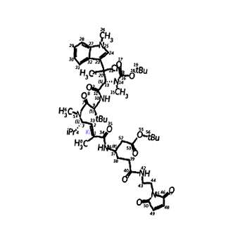 C/C(=C\[C@H](C(C)C)N(C)C(=O)[C@@H](NC(=O)[C@@H](N(C)C(=O)OC(C)(C)C)C(C)(C)c1cn(C)c2ccccc12)C(C)(C)C)C(=O)N[C@H](CCC(=O)NCCN1C(=O)C=CC1=O)CC(=O)OC(C)(C)C